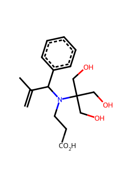 C=C(C)C(c1ccccc1)N(CCC(=O)O)C(CO)(CO)CO